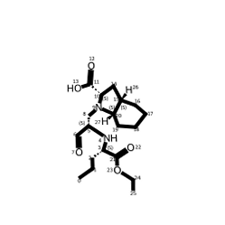 CCC[C@H](N[C@H](C=O)CN1[C@H](C(=O)O)C[C@@H]2CCCC[C@@H]21)C(=O)OCC